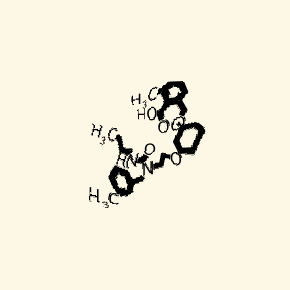 CCCCNC(=O)N(CCO[C@@H]1CCC[C@H](OCc2cccc(C)c2C(=O)O)C1)Cc1cccc(C)c1